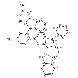 N#Cc1ccc(-c2ccc3c(c2)c2c4sc5ccccc5c4ccc2n3-c2ccccc2)c(-n2c3ccccc3c3cc(C#N)ccc32)c1